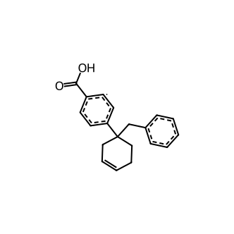 O=C(O)c1[c]cc(C2(Cc3ccccc3)CC=CCC2)cc1